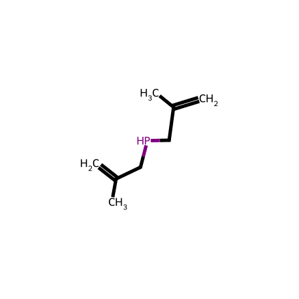 C=C(C)CPCC(=C)C